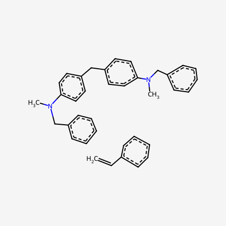 C=Cc1ccccc1.CN(Cc1ccccc1)c1ccc(Cc2ccc(N(C)Cc3ccccc3)cc2)cc1